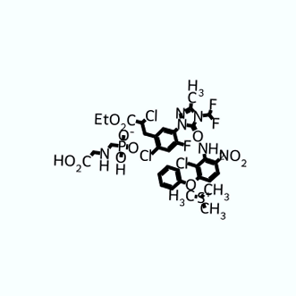 CCOC(=O)C(Cl)Cc1cc(-n2nc(C)n(C(F)F)c2=O)c(F)cc1Cl.C[S+](C)C.Nc1c([N+](=O)[O-])ccc(Oc2ccccc2)c1Cl.O=C(O)CNCP(=O)([O-])O